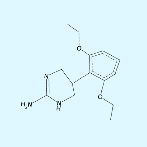 CCOc1cccc(OCC)c1C1CN=C(N)NC1